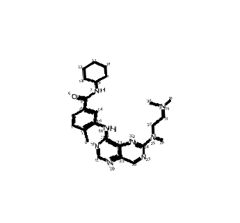 Cc1ccc(C(=O)NC2CCCCC2)cc1Nc1ncnc2cnc(N(C)CCN(C)C)nc12